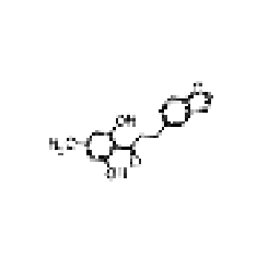 Cc1cc(O)c(C(=O)CCc2ccc3occc3c2)c(O)c1